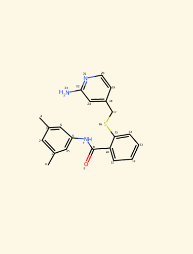 Cc1cc(C)cc(NC(=O)c2ccccc2SCc2ccnc(N)c2)c1